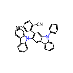 N#Cc1ccc(C#N)c(-c2cc3c(cc2-n2c4ccccc4c4ccccc42)c2ccccc2n3-c2ccccc2)c1